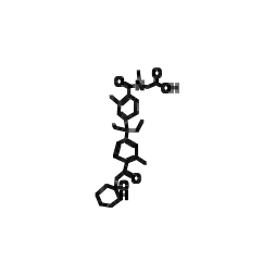 CCC(CC)(c1ccc(C(=O)CC2(O)CCCCC2)c(C)c1)c1ccc(C(=O)N(C)CC(=O)O)c(C)c1